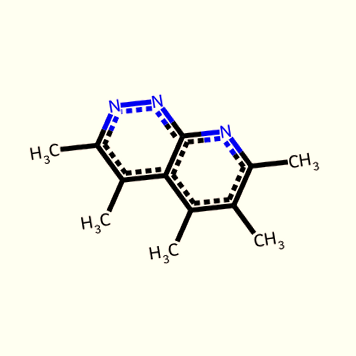 Cc1nc2nnc(C)c(C)c2c(C)c1C